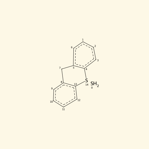 S.c1ccc2c(c1)Cc1ccccc1S2